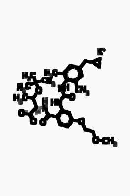 COCCOc1ccc(C(=O)N[C@H](C(=O)[O-])C(C)OC(C)(C)C)c(NC(=O)Nc2c(C)cc(CC3CC3)cc2C)c1.[K+]